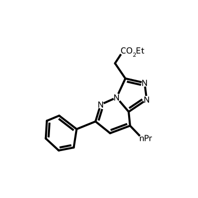 CCCc1cc(-c2ccccc2)nn2c(CC(=O)OCC)nnc12